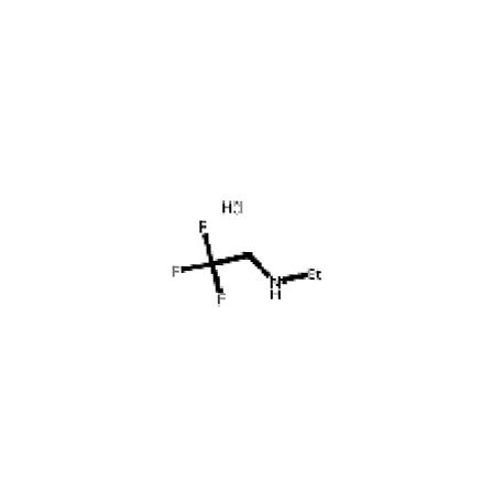 CCNCC(F)(F)F.Cl